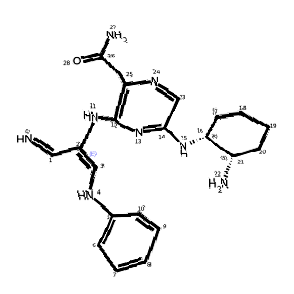 N=C/C(=C\Nc1ccccc1)Nc1nc(N[C@@H]2CCCC[C@@H]2N)cnc1C(N)=O